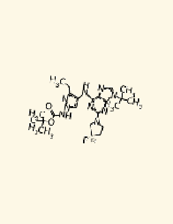 CCc1nn(NC(=O)OC(C)(C)C)cc1Nc1nc(N2CC[C@H](F)C2)nc2c1ncn2C(C)(C)C